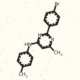 Cc1ccc(Nc2cc(C)nc(-c3ccc(Br)cc3)n2)cc1